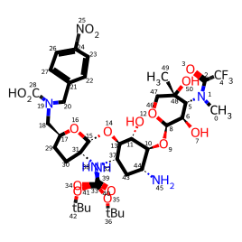 CN(C(=O)C(F)(F)F)[C@@H]1[C@@H](O)[C@@H](O[C@@H]2[C@@H](O)[C@H](O[C@H]3O[C@H](CN(Cc4ccc([N+](=O)[O-])cc4)C(=O)O)CC[C@H]3NC(=O)OC(C)(C)C)[C@@H](NC(=O)OC(C)(C)C)C[C@H]2N)OC[C@]1(C)O